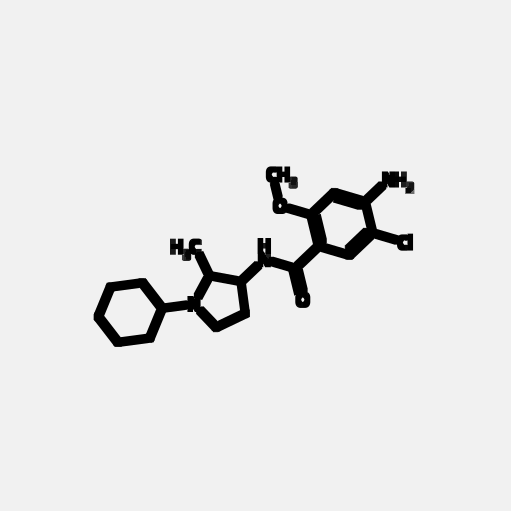 COc1cc(N)c(Cl)cc1C(=O)NC1CCN(C2CCCCC2)C1C